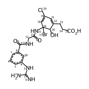 N=C(N)Nc1cccc(C(=O)NCC(=O)NC2(Br)C=C(Cl)C=C(CCC(=O)O)C2O)c1